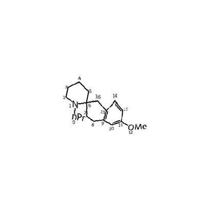 CCCN1CCCCC12CCc1cc(OC)ccc1C2